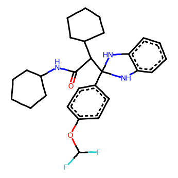 O=C(NC1CCCCC1)C(C1CCCCC1)C1(c2ccc(OC(F)F)cc2)Nc2ccccc2N1